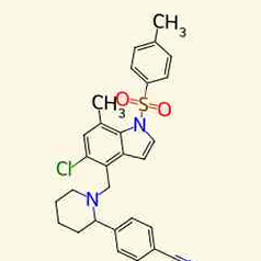 Cc1ccc(S(=O)(=O)n2ccc3c(CN4CCCCC4c4ccc(C#N)cc4)c(Cl)cc(C)c32)cc1